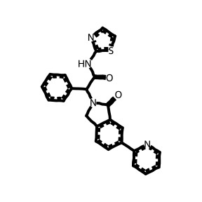 O=C(Nc1nccs1)C(c1ccccc1)N1Cc2ccc(-c3ccccn3)cc2C1=O